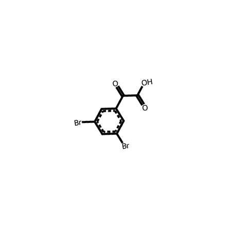 O=C(O)C(=O)c1cc(Br)cc(Br)c1